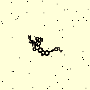 CC#Cc1ccc2sc3cc(Cl)c(C4CC(=O)N(C)C(=BOC#N)N4)cc3c2c1